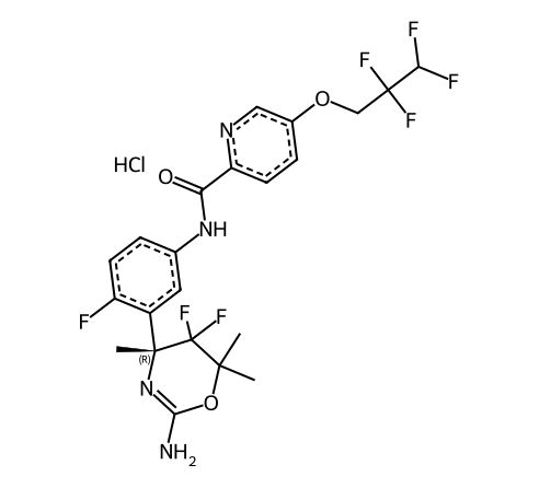 CC1(C)OC(N)=N[C@](C)(c2cc(NC(=O)c3ccc(OCC(F)(F)C(F)F)cn3)ccc2F)C1(F)F.Cl